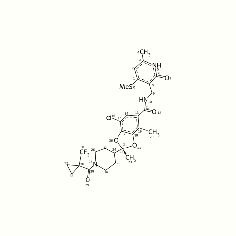 CSc1cc(C)[nH]c(=O)c1CNC(=O)c1cc(Cl)c2c(c1C)O[C@](C)(C1CCN(C(=O)C3(C(F)(F)F)CC3)CC1)O2